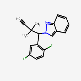 C#CC(C)(C)C(c1cc(F)ccc1F)n1cc2ccccc2n1